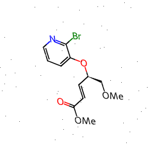 COC[C@@H](/C=C/C(=O)OC)Oc1cccnc1Br